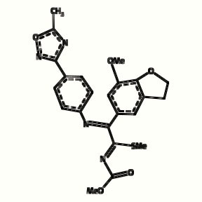 COC(=O)/N=C(SC)/C(=N/c1ccc(-c2noc(C)n2)cc1)c1cc2c(c(OC)c1)OCC2